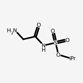 CC(C)OS(=O)(=O)NC(=O)CN